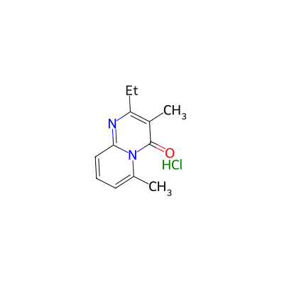 CCc1nc2cccc(C)n2c(=O)c1C.Cl